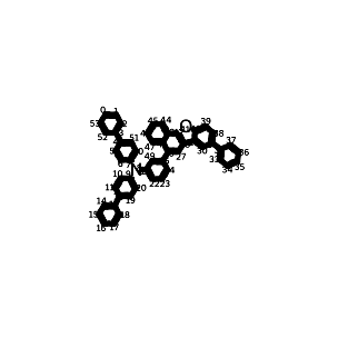 c1ccc(-c2ccc(N(c3ccc(-c4ccccc4)cc3)c3cccc(-c4cc5c6cc(-c7ccccc7)ccc6oc5c5ccccc45)c3)cc2)cc1